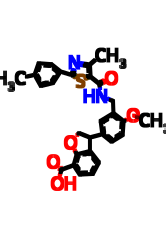 COc1ccc(C2COc3c(C(=O)O)cccc32)cc1CNC(=O)c1sc(-c2ccc(C)cc2)nc1C